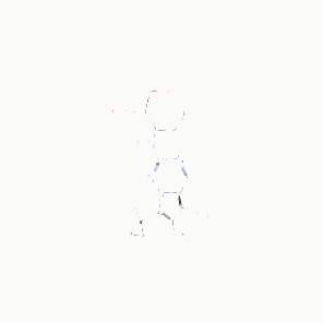 CCC1(c2c(C#N)c(C(F)(F)F)c3cnc(N[C@@H]4CCOC[C@H]4O)nn23)CC1